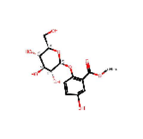 CCCCCCOC(=O)c1cc(O)ccc1O[C@@H]1O[C@H](CO)[C@@H](O)[C@H](O)[C@H]1O